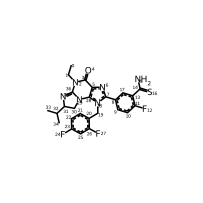 CCN1C(=O)c2nc(-c3ccc(F)c(C(N)=S)c3)n(Cc3ccc(F)cc3F)c2N2CC(C(C)C)N=C12